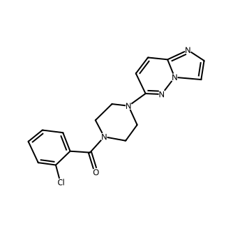 O=C(c1ccccc1Cl)N1CCN(c2ccc3nccn3n2)CC1